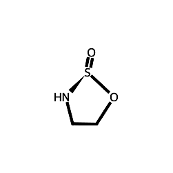 O=[S@@]1NCCO1